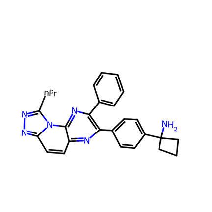 CCCc1nnc2ccc3nc(-c4ccc(C5(N)CCC5)cc4)c(-c4ccccc4)nc3n12